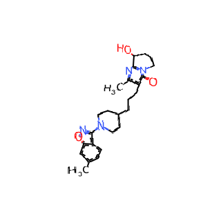 Cc1ccc2c(N3CCC(CCCc4c(C)nc5n(c4=O)CCCC5O)CC3)noc2c1